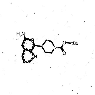 CC(C)(C)OC(=O)N1CCC(c2nc(N)cc3cccnc23)CC1